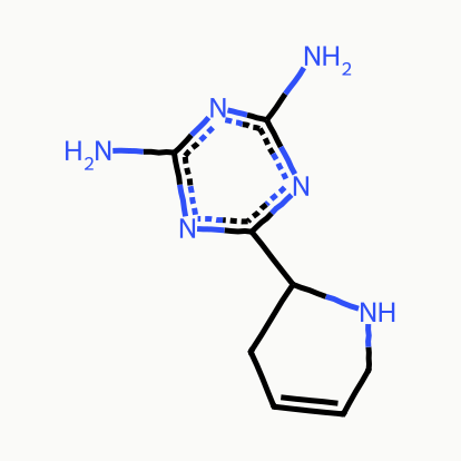 Nc1nc(N)nc(C2CC=CCN2)n1